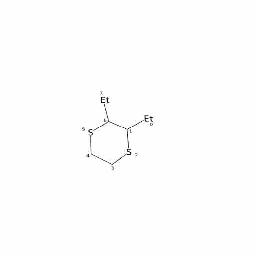 CCC1SCCSC1CC